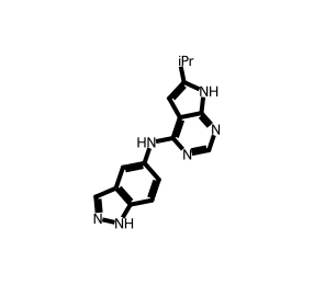 CC(C)c1cc2c(Nc3ccc4[nH]ncc4c3)ncnc2[nH]1